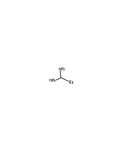 CC[CH]C(CC)CCC